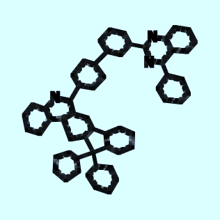 c1ccc(-c2nc(-c3cccc(-c4ccc(-c5nc6ccccc6c6cc7c(cc56)-c5ccccc5C7(c5ccccc5)c5ccccc5)cc4)c3)nc3ccccc23)cc1